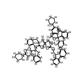 C[C@H](NC(=O)[C@H](Cc1ccccc1)N1C(=O)[C@@H](N(C)C(=O)[C@H](CC(=O)OC(c2ccccc2)(c2ccc(C3CCCCC3)cc2)c2ccccc2Cl)NC(=O)OCC2c3ccccc3-c3ccccc32)Cc2ccccc21)C(=O)N1CCCCC1